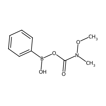 CON(C)C(=O)OB(O)c1ccccc1